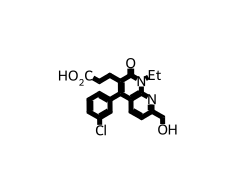 CCn1c(=O)c(CCC(=O)O)c(-c2cccc(Cl)c2)c2ccc(CO)nc21